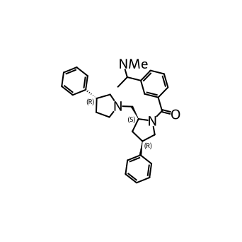 CNC(C)c1cccc(C(=O)N2C[C@@H](c3ccccc3)C[C@H]2CN2CC[C@H](c3ccccc3)C2)c1